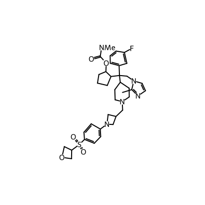 CNC(=O)OC1CCCC1C(Cn1ccnc1C)(c1cccc(F)c1)C1CCN(CC2CN(c3ccc(S(=O)(=O)C4COC4)cc3)C2)CC1